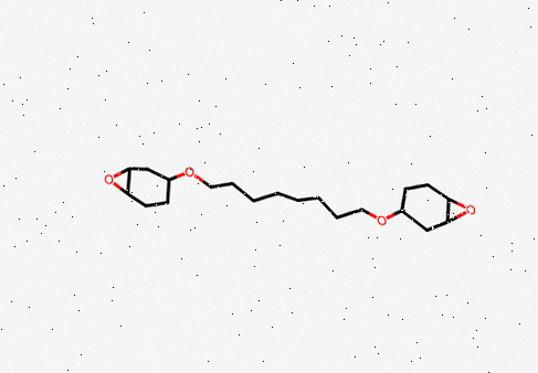 C(CCCCOC1CCC2OC2C1)CCCOC1CCC2OC2C1